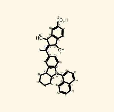 C/C(=C1/C(O)c2ccc(C(=O)O)cc2C1O)c1ccc2c(c1)C1CCCCC1N2c1cccc2ccccc12